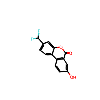 O=c1oc2cc(C(F)F)ccc2c2ccc(O)cc12